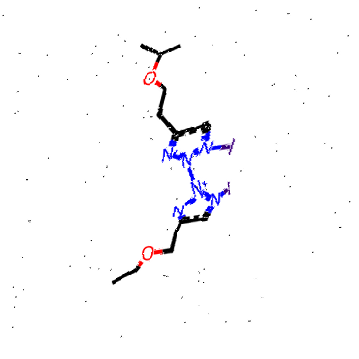 CCOCc1cn(I)[n+](-[n+]2nc(CCOC(C)C)cn2I)n1